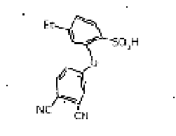 CCc1ccc(S(=O)(=O)O)c(Oc2ccc(C#N)c(C#N)c2)c1